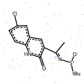 C/C(=N\[S+]([O-])C(C)(C)C)c1cc2cc(Cl)ccc2[nH]c1=O